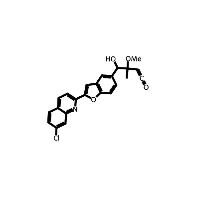 COC(C)(C=C=O)C(O)c1ccc2oc(-c3ccc4ccc(Cl)cc4n3)cc2c1